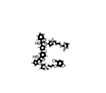 C[N+]1(CCCOc2ccccc2Cl)CCC(OC(=O)[C@](O)(c2ccccc2)C2CCCC2)C1.Cl.Cn1ccnc1SCCC[N+]1(C)CC[C@@H](OC(=O)[C@](O)(c2ccccc2)C2CCCC2)C1